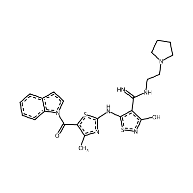 Cc1nc(Nc2snc(O)c2C(=N)NCCN2CCCC2)sc1C(=O)n1ccc2ccccc21